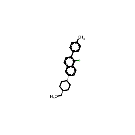 CC[C@H]1CC[C@H](c2ccc3c(F)c(-c4ccc(C)cc4)ccc3c2)CC1